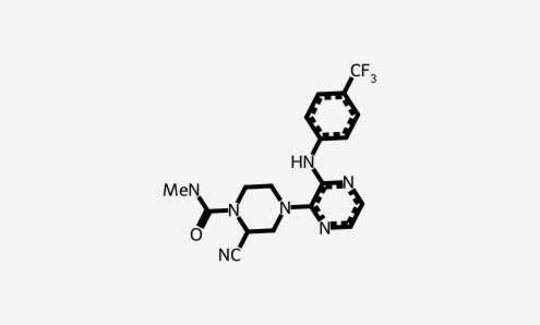 CNC(=O)N1CCN(c2nccnc2Nc2ccc(C(F)(F)F)cc2)CC1C#N